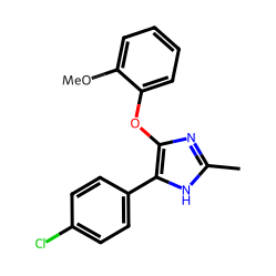 COc1ccccc1Oc1nc(C)[nH]c1-c1ccc(Cl)cc1